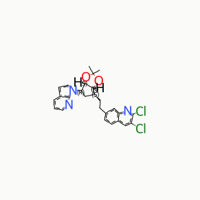 CC1(C)O[C@@H]2[C@@H](CCc3ccc4cc(Cl)c(Cl)nc4c3)C[C@@H](n3ccc4cccnc43)[C@@H]2O1